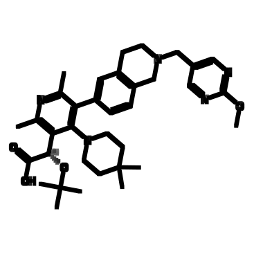 COc1ncc(CN2CCc3cc(-c4c(C)nc(C)c([C@H](OC(C)(C)C)C(=O)O)c4N4CCC(C)(C)CC4)ccc3C2)cn1